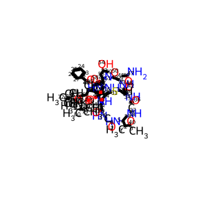 CC[C@H](C)[C@@H]1NC(=O)CNC(=O)[C@@H]2Cc3c([nH]c4cc(OCc5ccccc5)ccc34)SC[C@@H](NC(=O)CNC1=O)C(=O)N[C@@H](CC(N)=O)C(=O)N1C[C@H](O)CC1C(=O)N[C@@H]([C@@H](C)C(CO[Si](C)(C)C(C)(C)C)O[Si](C)(C)C(C)(C)C)C(=O)N2